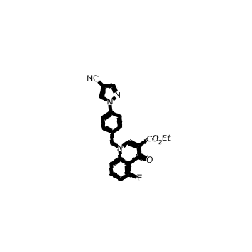 CCOC(=O)c1cn(Cc2ccc(-n3cc(C#N)cn3)cc2)c2cccc(F)c2c1=O